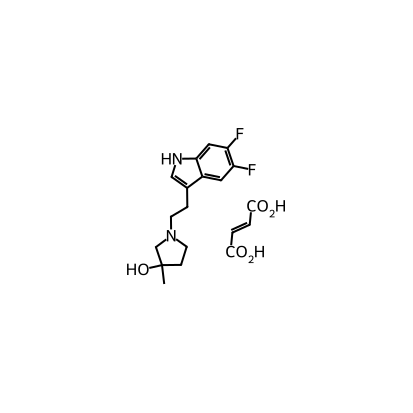 CC1(O)CCN(CCc2c[nH]c3cc(F)c(F)cc23)C1.O=C(O)/C=C/C(=O)O